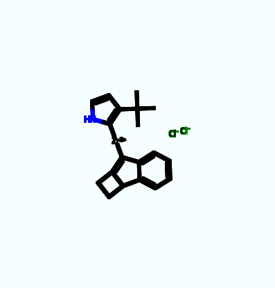 CC(C)(C)c1cc[nH][c]1[Zr+2][C]1=C2CCC2c2ccccc21.[Cl-].[Cl-]